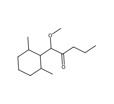 CCCC(=O)C(OC)C1C(C)CCCC1C